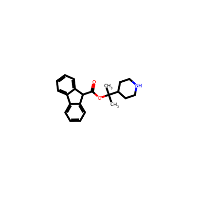 CC(C)(OC(=O)C1c2ccccc2-c2ccccc21)C1CCNCC1